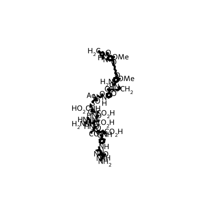 C=C1C[C@H]2C=Nc3cc(OCCCCCOc4cc(N)c(C(=O)N5CC(=C)C[C@H]5C5OC(=O)c6cc(NC(=O)CCN(C(C)=O)C(=O)CSC[C@H](NC(=O)[C@H](CC(=O)O)NC(=O)[C@H](CC(=O)O)NC(=O)[C@H](CCCNC(=N)N)NC(=O)[C@H](CC(=O)O)NC(=O)CC[C@H](NC(=O)c7ccc(NCc8cnc9nc(N)[nH]c(=O)c9n8)cc7)C(=O)O)C(=O)O)ccc6O5)cc4OC)c(OC)cc3C(=O)N2C1